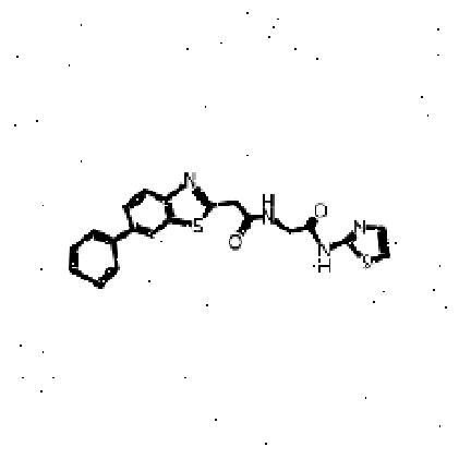 O=C(Cc1nc2ccc(-c3ccccc3)cc2s1)NCC(=O)Nc1nccs1